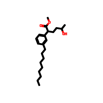 CCCCCCCCCc1cccc(C(CCC(C)O)C(=O)OC)c1